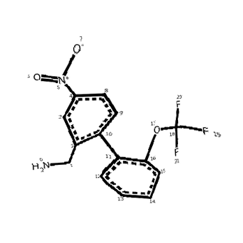 NCc1cc([N+](=O)[O-])ccc1-c1ccccc1OC(F)(F)F